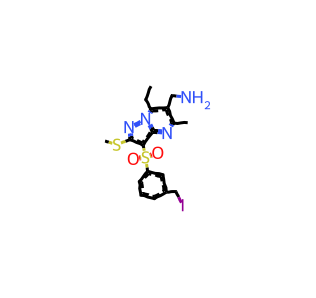 CCc1c(CN)c(C)nc2c(S(=O)(=O)c3cccc(CI)c3)c(SC)nn12